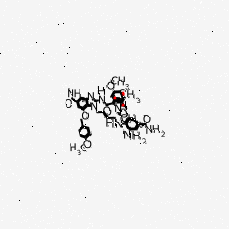 CCn1nc(C)cc1C(=O)Nc1nc2cc(C(N)=O)cc(OCc3ccc(OC)cc3)c2n1C/C=C/CNc1c(N)cc(C(N)=O)cc1OCc1ccc(OC)cc1